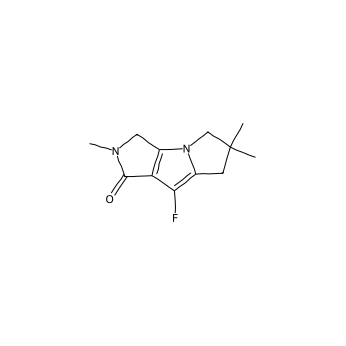 CN1Cc2c(c(F)c3n2CC(C)(C)C3)C1=O